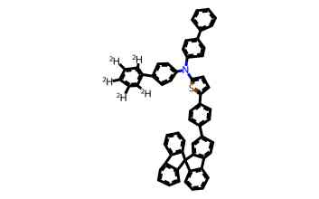 [2H]c1c([2H])c([2H])c(-c2ccc(N(c3ccc(-c4ccccc4)cc3)c3ccc(-c4ccc(-c5ccc6c(c5)C5(c7ccccc7-c7ccccc75)c5ccccc5-6)cc4)s3)cc2)c([2H])c1[2H]